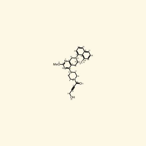 COc1nc2c(c(N3CCN(C(=O)C#CCO)CC3)n1)CCN(c1cccc3cccc(C)c13)C2